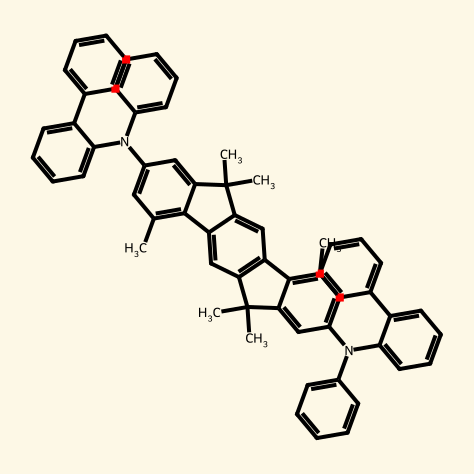 Cc1cc(N(c2ccccc2)c2ccccc2-c2ccccc2)cc2c1-c1cc3c(cc1C2(C)C)-c1c(C)cc(N(c2ccccc2)c2ccccc2-c2ccccc2)cc1C3(C)C